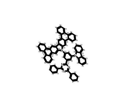 c1ccc(-c2nc(-c3ccccc3)nc(-c3cc(-n4c5ccccc5c5ccccc54)cc(-n4c5cc6c7ccccc7c7ccccc7c6cc5c5cc6c7ccccc7c7ccccc7c6cc54)c3)n2)cc1